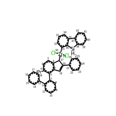 CC(C)c1ccc2c(c1-c1ccccc1-c1ccccc1)C=C(c1ccccc1)[CH]2[Zr]([Cl])([Cl])[c]1cccc2c1[SiH2]c1ccccc1-2